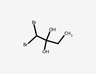 CCC(O)(O)C(Br)Br